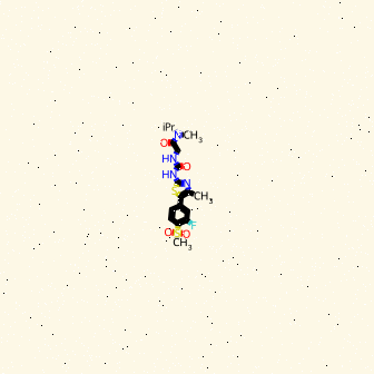 Cc1nc(NC(=O)NCC(=O)N(C)C(C)C)sc1-c1ccc(S(C)(=O)=O)c(F)c1